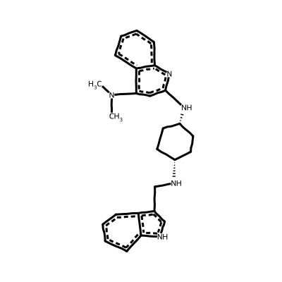 CN(C)c1cc(N[C@H]2CC[C@@H](NCc3c[nH]c4ccccc34)CC2)nc2ccccc12